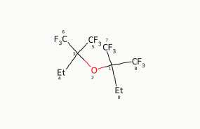 CCC(OC(CC)(C(F)(F)F)C(F)(F)F)(C(F)(F)F)C(F)(F)F